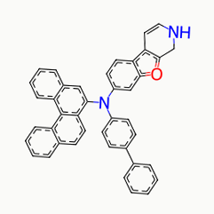 C1=Cc2c(oc3cc(N(c4ccc(-c5ccccc5)cc4)c4cc5ccccc5c5c4ccc4ccccc45)ccc23)CN1